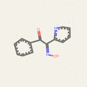 O=C(/C(=N/O)c1ccccn1)c1ccccc1